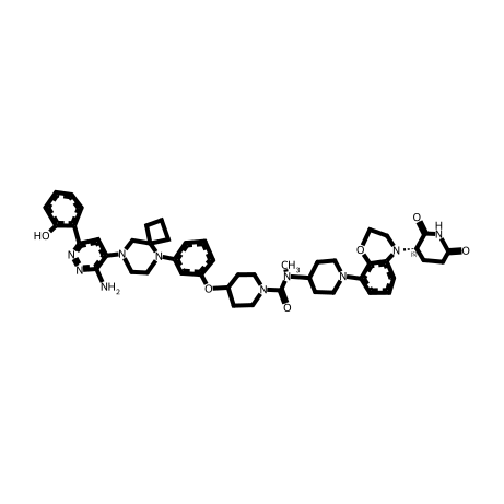 CN(C(=O)N1CCC(Oc2cccc(N3CCN(c4cc(-c5ccccc5O)nnc4N)CC34CCC4)c2)CC1)C1CCN(c2cccc3c2OCCN3[C@H]2CCC(=O)NC2=O)CC1